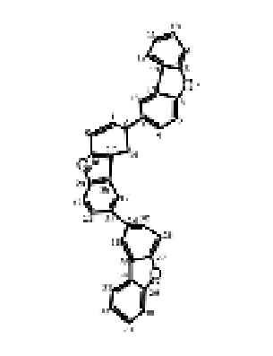 C1=CC(c2ccc3oc4ccccc4c3c2)Cc2c1oc1ccc(-c3ccc4oc5ccccc5c4c3)cc21